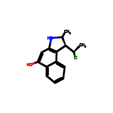 CC1Nc2cc(O)c3ccccc3c2[C@@H]1[C@@H](C)Cl